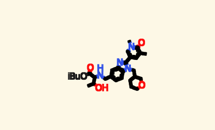 Cc1cc(-c2nc3cc(CNC(C(=O)OCC(C)C)C(C)O)ccc3n2CC2CCCOC2)cn(C)c1=O